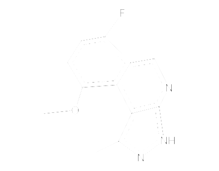 COc1ccc(F)c2cnc3[nH]nc(C)c3c12